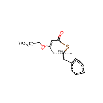 C[C@]1(Cc2ccccc2)CC(OCC(=O)O)=CC(=O)S1